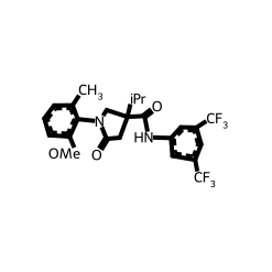 COc1cccc(C)c1N1CC(C(=O)Nc2cc(C(F)(F)F)cc(C(F)(F)F)c2)(C(C)C)CC1=O